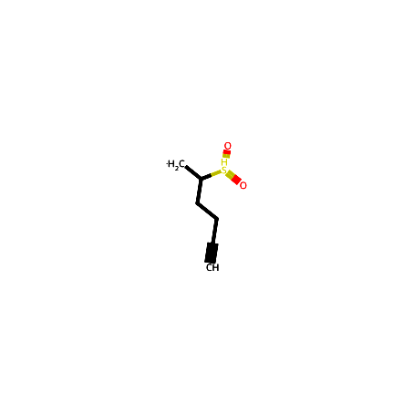 C#CCCC([CH2])[SH](=O)=O